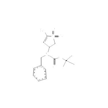 CC(C)(C)OC(=O)N(Cc1ccccc1)C1C=C(Br)S(=O)(=O)C1